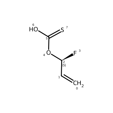 C=C[C@H](F)OC(O)=S